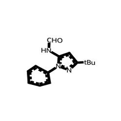 CC(C)(C)c1cc(NC=O)n(-c2ccccc2)n1